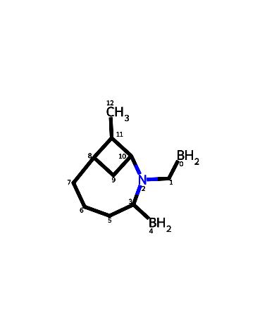 BCN1C(B)CCCC2CC1C2C